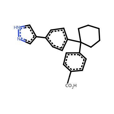 O=C(O)c1ccc(C2(c3ccc(-c4cn[nH]c4)cc3)CCCCC2)cc1